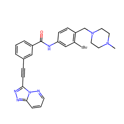 CN1CCN(Cc2ccc(NC(=O)c3cccc(C#Cc4nnc5cccnn45)c3)cc2C(C)(C)C)CC1